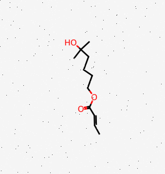 CC=CC(=O)OCCCCC(C)(C)O